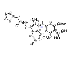 COc1cc(/C=C2/C(C)=C(CNC(=O)Cc3ccno3)c3cc(F)ccc32)cc(OC)c1B(O)O